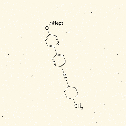 CCCCCCCOc1ccc(-c2ccc(C#CC3CCC(C)CC3)cc2)cc1